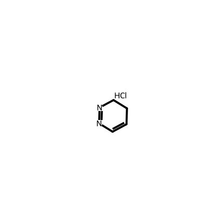 C1=CN=NCC1.Cl